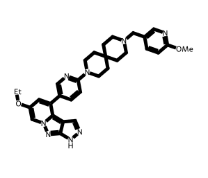 CCOc1cc(-c2ccc(N3CCC4(CCN(Cc5ccc(OC)nc5)CC4)CC3)nc2)c2c3cn[nH]c3nn2c1